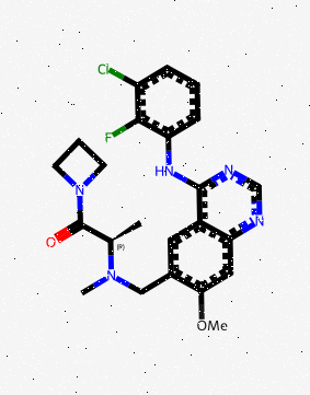 COc1cc2ncnc(Nc3cccc(Cl)c3F)c2cc1CN(C)[C@H](C)C(=O)N1CCC1